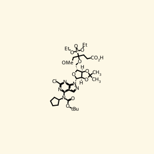 CCOP(=O)(OCC)C(CCC(=O)O)(COC)OC[C@H]1O[C@@H](n2ncc3c(N(C(=O)OC(C)(C)C)C4CCCC4)nc(Cl)nc32)[C@@H]2OC(C)(C)O[C@@H]21